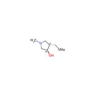 CSC[C@H]1CN(C)C[C@@H]1O